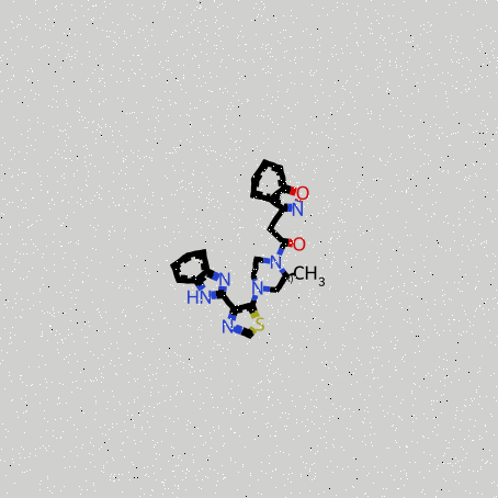 C[C@@H]1CN(c2scnc2-c2nc3ccccc3[nH]2)CCN1C(=O)Cc1noc2ccccc12